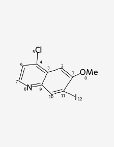 COc1cc2c(Cl)ccnc2cc1I